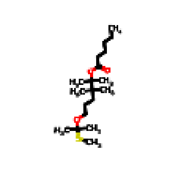 CCCCCC(=O)OC(C)(C)C(C)(C)CCCOC(C)(C)SC